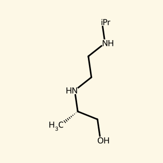 CC(C)NCCN[C@@H](C)CO